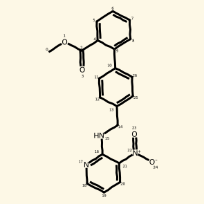 COC(=O)c1ccccc1-c1ccc(CNc2ncccc2[N+](=O)[O-])cc1